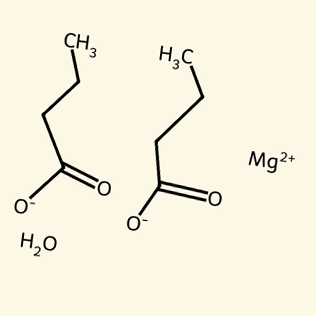 CCCC(=O)[O-].CCCC(=O)[O-].O.[Mg+2]